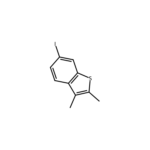 Cc1sc2cc(I)ccc2c1C